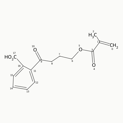 C=C(C)C(=O)OCCCC(=O)c1ccccc1C(=O)O